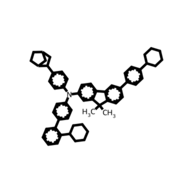 CC1(C)c2ccc(-c3ccc(C4CCCCC4)cc3)cc2-c2ccc(N(c3ccc(-c4ccccc4C4CCCCC4)cc3)c3ccc(C4CC5CCC4C5)cc3)cc21